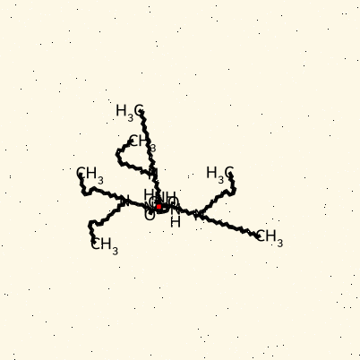 CCCCCC=CCC=CCCCCCCCCN(CCCCCCCC/C=C\C/C=C\CCCCC)CCCCCCNC(=O)C12CC3CC(C(=O)NCCCCCCN(CCCCCCCCC=CCC=CCCCCC)CCCCCCCC/C=C\C/C=C\CCCCC)(C1)CC(C(=O)NCCCCCCN(CCCCCCCC/C=C\C/C=C\CCCCC)CCCCCCCC/C=C\C/C=C\CCCCC)(C3)C2